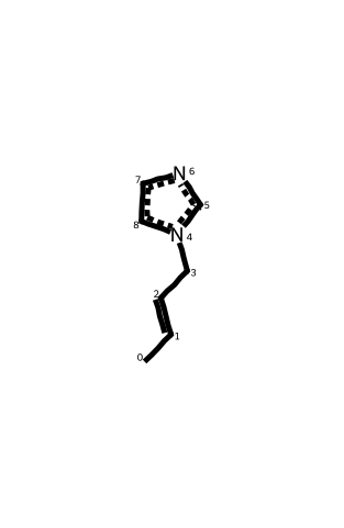 C/C=C/Cn1[c]ncc1